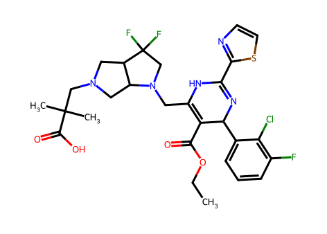 CCOC(=O)C1=C(CN2CC(F)(F)C3CN(CC(C)(C)C(=O)O)CC32)NC(c2nccs2)=NC1c1cccc(F)c1Cl